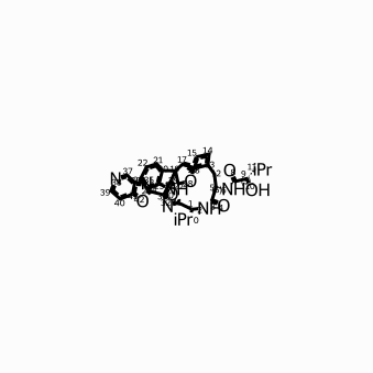 CC(C)C1NC(=O)[C@@H](NC(=O)[C@@H](O)C(C)C)Cc2ccc3c(c2)C2(c4ccccc4NC2O3)c2oc1nc2-c1nc2cnccc2o1